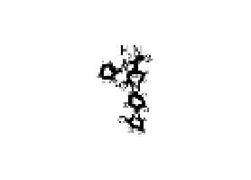 Cc1ccccc1-n1nc(C(N)=O)c2c1C(=O)N(c1ccc(N3CCCC3=O)cc1)CC2